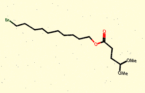 COC(CCC(=O)OCCCCCCCCCCBr)OC